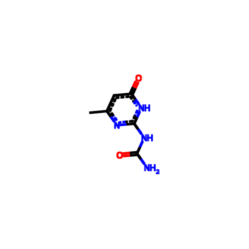 Cc1cc(=O)[nH]c(NC(N)=O)n1